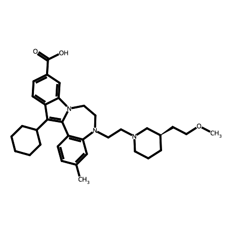 COCC[C@H]1CCCN(CCN2CCn3c(c(C4CCCCC4)c4ccc(C(=O)O)cc43)-c3ccc(C)cc32)C1